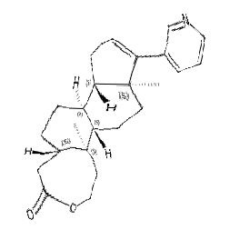 C[C@]12CCOC(=O)C[C@@H]1CC[C@@H]1[C@@H]2CC[C@]2(C)C(c3cccnc3)=CC[C@@H]12